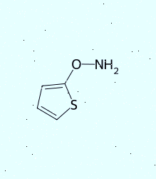 NOc1cccs1